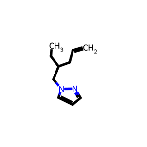 C=CCC(CC)Cn1cccn1